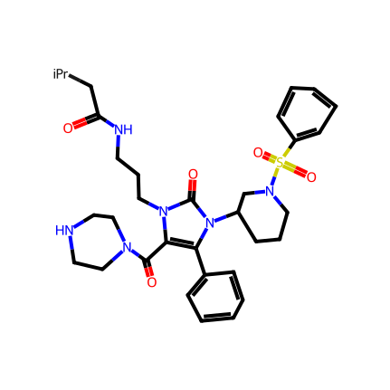 CC(C)CC(=O)NCCCn1c(C(=O)N2CCNCC2)c(-c2ccccc2)n(C2CCCN(S(=O)(=O)c3ccccc3)C2)c1=O